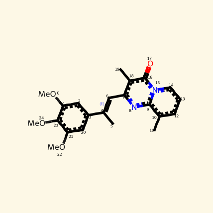 COc1cc(/C(C)=C/c2nc3c(C)cccn3c(=O)c2C)cc(OC)c1OC